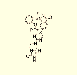 O=C1NC[C@@H]2CN(c3ncc(-c4ccc5c(=O)n6n(c5c4)[C@H](c4ccccc4OC(F)F)CC6)cn3)CCN12